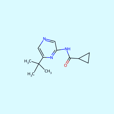 CC(C)(C)c1cncc(NC(=O)C2CC2)n1